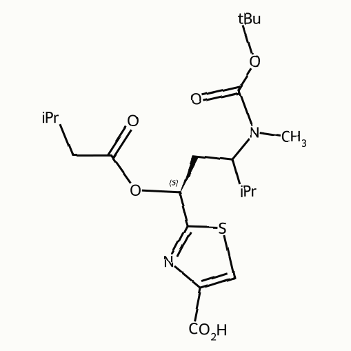 CC(C)CC(=O)O[C@@H](CC(C(C)C)N(C)C(=O)OC(C)(C)C)c1nc(C(=O)O)cs1